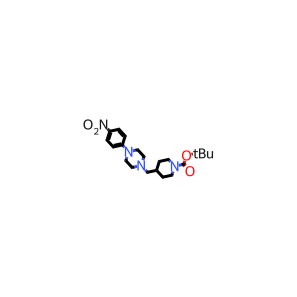 CC(C)(C)OC(=O)N1CCC(CN2CCN(c3ccc([N+](=O)[O-])cc3)CC2)CC1